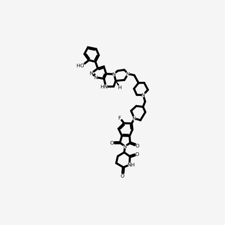 O=C1CCC(N2C(=O)c3cc(F)c(N4CCC(CN5CCC(CN6CCN7c8cc(-c9ccccc9O)nnc8NC[C@H]7C6)CC5)CC4)cc3C2=O)C(=O)N1